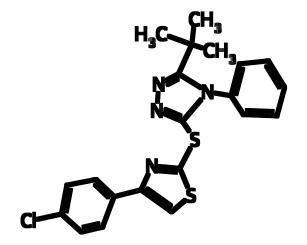 CC(C)(C)c1nnc(Sc2nc(-c3ccc(Cl)cc3)cs2)n1-c1ccccc1